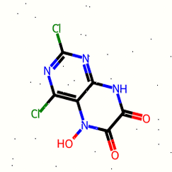 O=c1[nH]c2nc(Cl)nc(Cl)c2n(O)c1=O